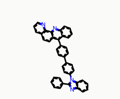 c1ccc(-c2nc3ccccc3n2-c2ccc(-c3ccc(-c4c5ccccc5nc5c4ccc4cccnc45)cc3)cc2)cc1